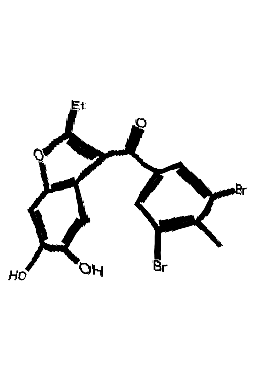 CCc1oc2cc(O)c(O)cc2c1C(=O)c1cc(Br)c(C)c(Br)c1